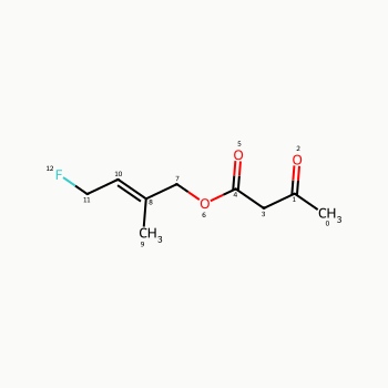 CC(=O)CC(=O)OC/C(C)=C/CF